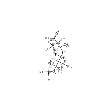 CC(C)(OC(F)(F)C(F)(C(F)(F)F)C(C)(C)OC(F)(F)I)C(F)(C(=O)F)C(F)(F)F